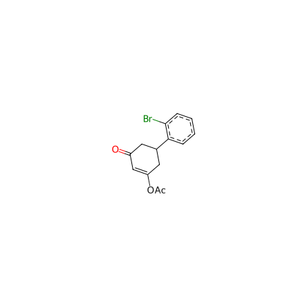 CC(=O)OC1=CC(=O)CC(c2ccccc2Br)C1